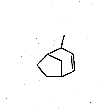 CC1C=CC2CCC1C2